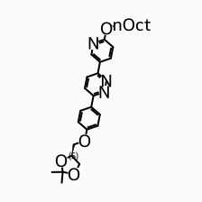 CCCCCCCCOc1ccc(-c2ccc(-c3ccc(OC[C@H]4COC(C)(C)O4)cc3)nn2)cn1